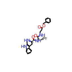 CC(C)C[C@H](NC(=O)[C@H]1Cc2c([nH]c3ccccc23)CN1)C(=O)NCCC(=O)OCc1ccccc1